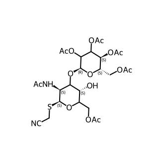 CC(=O)N[C@H]1C(O[C@@H]2O[C@@H](COC(C)=O)[C@H](OC(C)=O)C(OC(C)=O)C2OC(C)=O)[C@H](O)C(COC(C)=O)O[C@H]1SCC#N